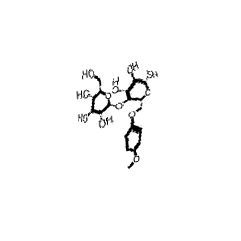 COc1ccc(OC[C@H]2O[C@@H](S)[C@H](O)[C@@H](O)[C@@H]2O[C@@H]2O[C@H](CO)[C@@H](O)[C@H](O)[C@H]2O)cc1